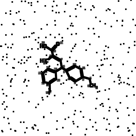 CCc1ccc(C(C=C(C)C(=O)O)c2cccc(F)c2)cc1